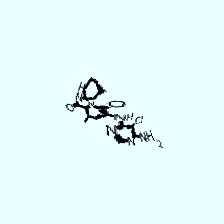 Cc1cc(Nc2ncnc(N)c2Cl)c(=O)n2c1C(=O)NC21CCCCC1